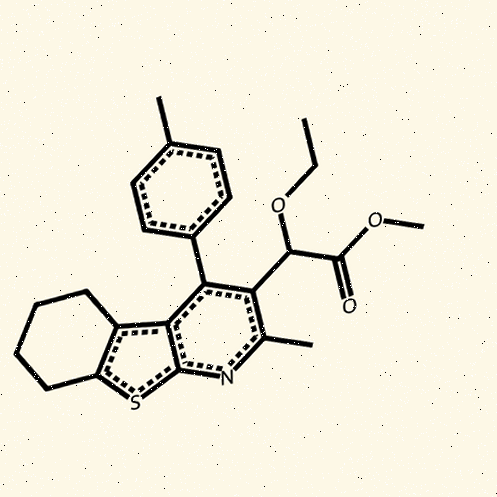 CCOC(C(=O)OC)c1c(C)nc2sc3c(c2c1-c1ccc(C)cc1)CCCC3